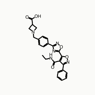 CCNC(=O)c1c(-c2ccccc2)noc1-c1nc(-c2ccc(CN3CC(C(=O)O)C3)cc2)no1